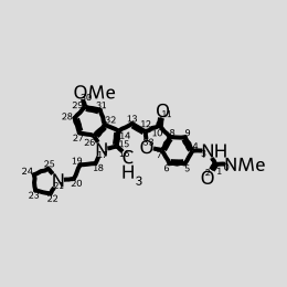 CNC(=O)Nc1ccc2c(c1)C(=O)C(=Cc1c(C)n(CCCN3CCCC3)c3ccc(OC)cc13)O2